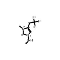 CNN1C=C(CC(F)(F)F)N(C)C1